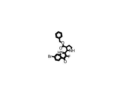 O=C(OCc1ccccc1)C1CCNC1c1[nH]c2cc(Br)ccc2c(=O)c1F